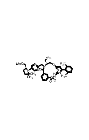 COC[C@@H]1CCC(C)(C)N1c1cnc(CN2C(=O)c3cccc(c3)S(=O)(=O)Nc3nc(cc(-c4c(C)cccc4C)n3)OC[C@H]2CC(C)(C)C)nc1